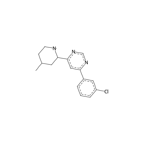 CC1CC[N]C(c2cc(-c3cccc(Cl)c3)ncn2)C1